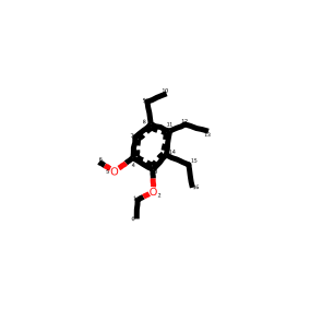 CCOc1c(OC)cc(CC)c(CC)c1CC